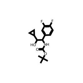 CC(C)(C)OC(=O)NC(c1ccc(F)c(F)c1)C(O)C1CC1